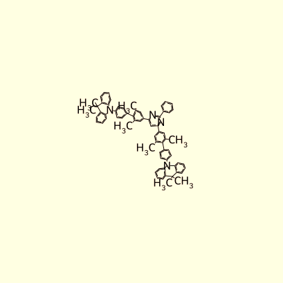 Cc1cc(-c2cc(-c3cc(C)c(-c4ccc(N5c6ccccc6C(C)(C)c6ccccc65)cc4)c(C)c3)nc(-c3ccccc3)n2)cc(C)c1-c1ccc(N2c3ccccc3C(C)(C)c3ccccc32)cc1